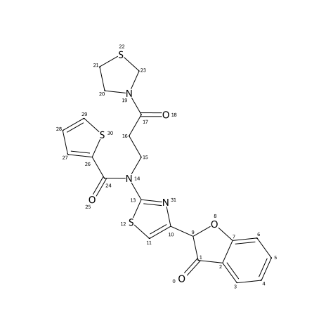 O=C1c2ccccc2OC1c1csc(N(CCC(=O)N2CCSC2)C(=O)c2cccs2)n1